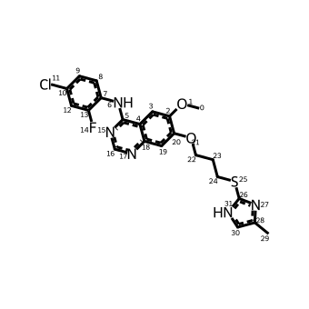 COc1cc2c(Nc3ccc(Cl)cc3F)ncnc2cc1OCCCSc1nc(C)c[nH]1